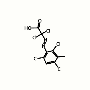 Cc1c(Cl)cc(Cl)c(N=NC(Cl)(Cl)C(=O)O)c1Cl